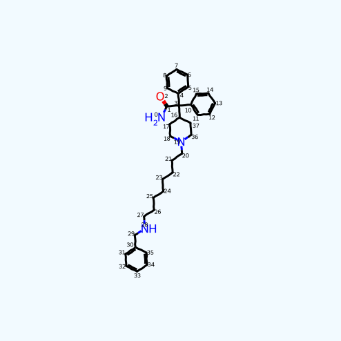 NC(=O)C(c1ccccc1)(c1ccccc1)C1CCN(CCCCCCCCNCc2ccccc2)CC1